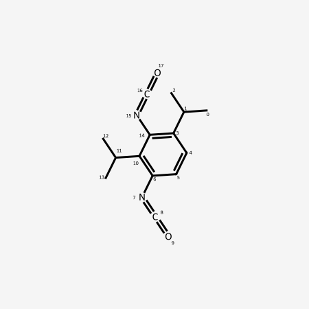 CC(C)c1ccc(N=C=O)c(C(C)C)c1N=C=O